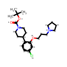 CC(C)(C)OC(=O)N1CCC(c2ccc(Cl)cc2OCCCN2CCCC2)CC1